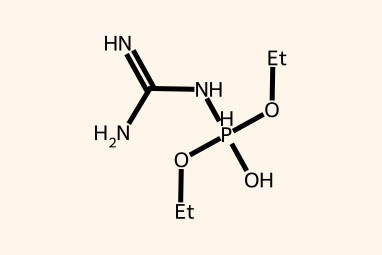 CCO[PH](O)(NC(=N)N)OCC